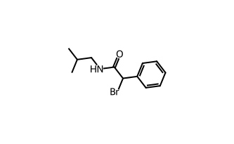 CC(C)CNC(=O)C(Br)c1ccccc1